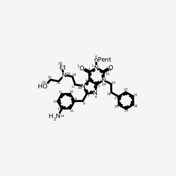 CCCCCn1c(=O)c2c(nc(Cc3cccc(N)c3)n2CCN(CC)CCO)n(CCc2ccccc2)c1=O